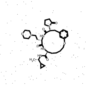 C[C@H](NC(=O)[C@@H]1CCCCOc2cccc(c2)C[C@H](N2CCCC2=O)C(=O)N[C@@H](CCN2CCOCC2)C(=O)N1)C1CC1